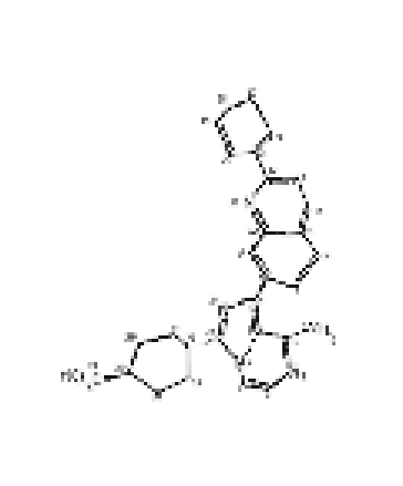 Nc1nccn2c1c(-c1ccc3ccc(C4=CCCC=C4)nc3c1)nc2[C@H]1CC[C@H](C(=O)O)CC1